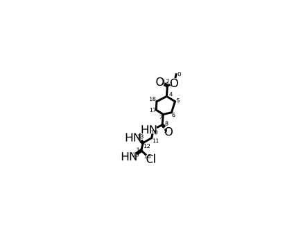 COC(=O)C1CCC(C(=O)NCC(=N)C(=N)Cl)CC1